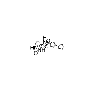 O=C1NC(=O)C2(CCCC2CNS(=O)(=O)c2ccc(-c3ccccc3)cc2)N1